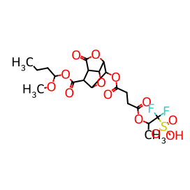 CCCC(OC)OC(=O)C1C2OC3C(OC(=O)C31)C2OC(=O)CCC(=O)OC(C)C(F)(F)S(=O)(=O)O